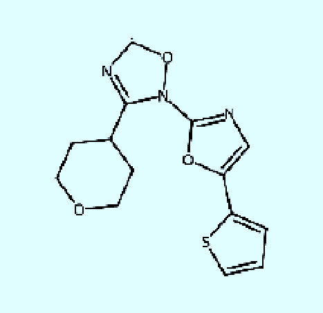 [CH]1N=C(C2CCOCC2)N(c2ncc(-c3cccs3)o2)O1